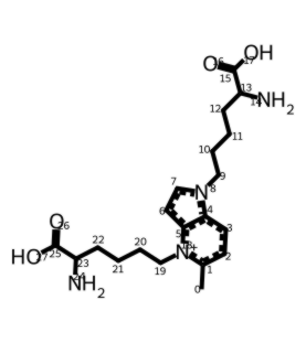 Cc1ccc2c(ccn2CCCCC(N)C(=O)O)[n+]1CCCCC(N)C(=O)O